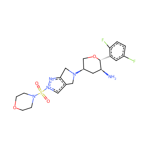 N[C@H]1C[C@@H](N2Cc3cn(S(=O)(=O)N4CCOCC4)nc3C2)CO[C@@H]1c1cc(F)ccc1F